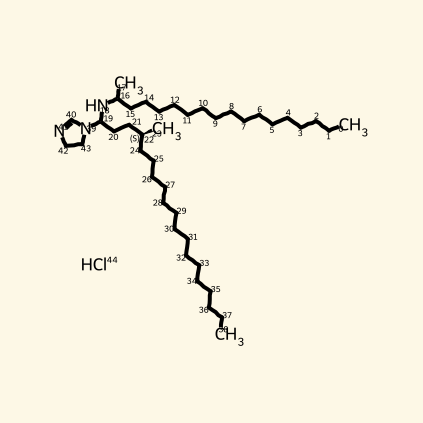 CCCCCCCCCCCCCCCCC(C)NC(CC[C@@H](C)CCCCCCCCCCCCCCC)N1C=NCC1.Cl